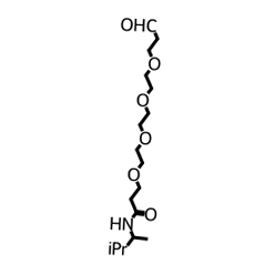 CC(C)C(C)NC(=O)CCOCCOCCOCCOCCC=O